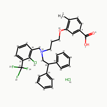 Cc1ccc(C(=O)O)cc1OCCCN(Cc1cccc(C(F)(F)F)c1Cl)CC(c1ccccc1)c1ccccc1.Cl